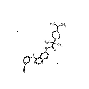 C#Cc1cccc(Nc2ncnc3ccc(NC(=O)C(C)(C)N4CCN(C(C)C)CC4)cc23)c1